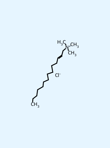 CCCCCCCCCCCC=CC[N+](C)(C)C.[Cl-]